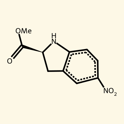 COC(=O)[C@@H]1Cc2cc([N+](=O)[O-])ccc2N1